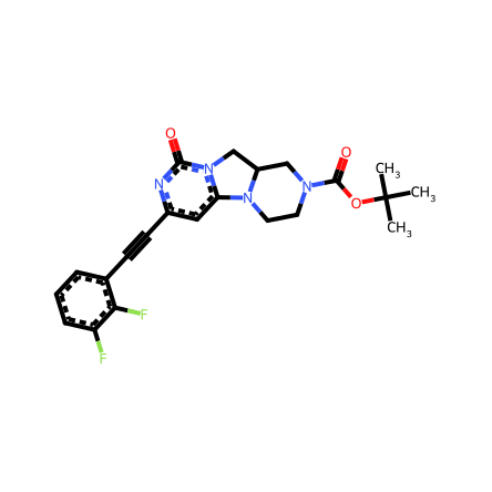 CC(C)(C)OC(=O)N1CCN2c3cc(C#Cc4cccc(F)c4F)nc(=O)n3CC2C1